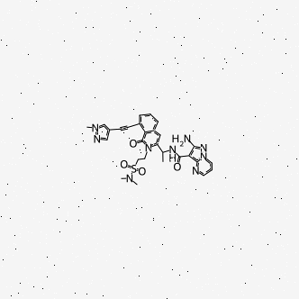 CC(NC(=O)c1c(N)nn2cccnc12)c1cc2cccc(C#Cc3cnn(C)c3)c2c(=O)n1CCS(=O)(=O)N(C)C